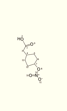 O=C(O)CC1CCC(O[N+](=O)[O-])CC1